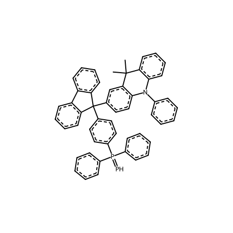 CC1(C)c2ccccc2N(c2ccccc2)c2ccc(C3(c4ccc(P(=P)(c5ccccc5)c5ccccc5)cc4)c4ccccc4-c4ccccc43)cc21